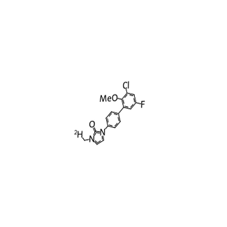 [2H]Cn1ccn(-c2ccc(-c3cc(F)cc(Cl)c3OC)cc2)c1=O